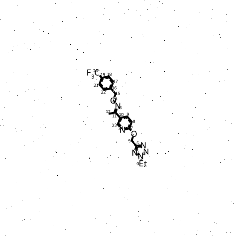 CCn1nnc(COc2ccc(/C(C)=N/OCc3ccc(C(F)(F)F)cc3)cn2)n1